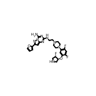 Nc1nc(NCCN2CCN(c3cc(O[C@H]4CNC[C@@H]4F)c(F)cc3F)CC2)nc2cc(-c3ccco3)nn12